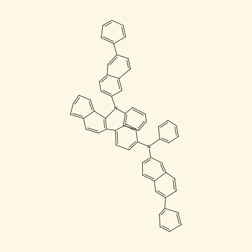 c1ccc(-c2ccc3cc(N(c4ccccc4)c4ccc(-c5ccc6ccccc6c5N(c5ccccc5)c5ccc6cc(-c7ccccc7)ccc6c5)cc4)ccc3c2)cc1